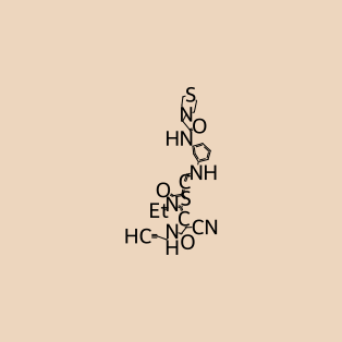 C#CCNC(=O)C(=C=c1sc(=C=CNc2cccc(NC(=O)CN3CCSCC3)c2)c(=O)n1CC)C#N